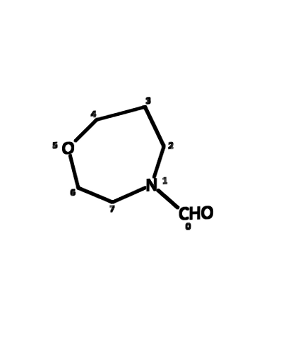 O=CN1CCCOCC1